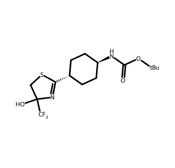 CC(C)(C)OC(=O)N[C@H]1CC[C@H](C2=NC(O)(C(F)(F)F)CS2)CC1